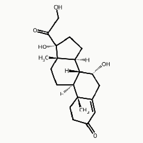 C[C@]12CCC(=O)C=C1C[C@@H](O)[C@@H]1[C@@H]2CC[C@@]2(C)[C@H]1CC[C@]2(O)C(=O)CO